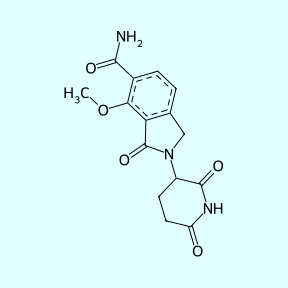 COc1c(C(N)=O)ccc2c1C(=O)N(C1CCC(=O)NC1=O)C2